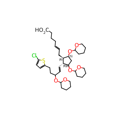 O=C(O)CCCC=CC[C@@H]1[C@@H](C=CC(CCc2ccc(Cl)s2)OC2CCCCO2)[C@H](OC2CCCCO2)C[C@@H]1OC1CCCCO1